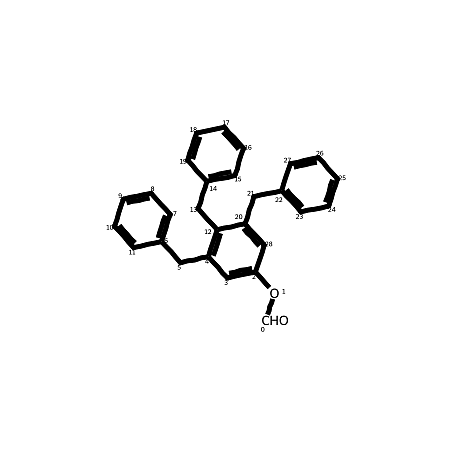 O=COc1cc(Cc2ccccc2)c(Cc2ccccc2)c(Cc2ccccc2)c1